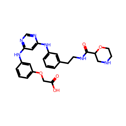 O=C(O)COc1cccc(Nc2cc(Nc3cccc(CCNC(=O)C4CNCCO4)c3)ncn2)c1